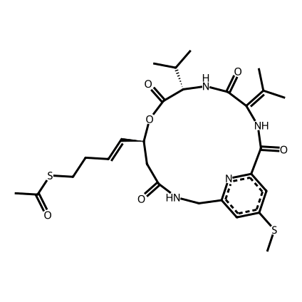 CSc1cc2nc(c1)C(=O)NC(=C(C)C)C(=O)N[C@@H](C(C)C)C(=O)O[C@H](/C=C/CCSC(C)=O)CC(=O)NC2